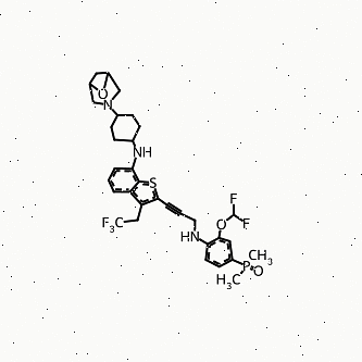 CP(C)(=O)c1ccc(NCC#Cc2sc3c(NC4CCC(N5CC6CC(C5)O6)CC4)cccc3c2CC(F)(F)F)c(OC(F)F)c1